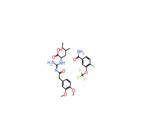 CCC(C)CC(NC(N)=NC(=O)Cc1ccc(OC)c(OC)c1)C(=O)O.NC(=O)c1ccc(F)c(OC(F)(F)F)c1